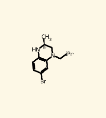 C[C](C)CN1C[C@H](C)Nc2ccc(Br)cc21